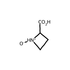 O=C(O)C1CC[NH+]1[O-]